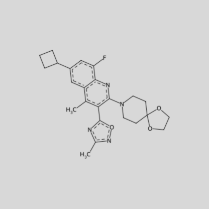 Cc1noc(-c2c(N3CCC4(CC3)OCCO4)nc3c(F)cc(C4CCC4)cc3c2C)n1